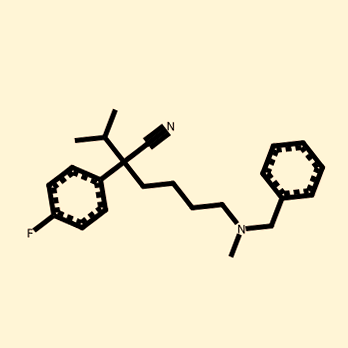 CC(C)C(C#N)(CCCCN(C)Cc1ccccc1)c1ccc(F)cc1